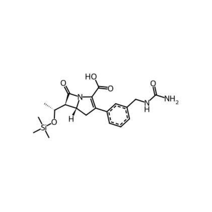 C[C@@H](O[Si](C)(C)C)[C@H]1C(=O)N2C(C(=O)O)=C(c3cccc(CNC(N)=O)c3)C[C@H]12